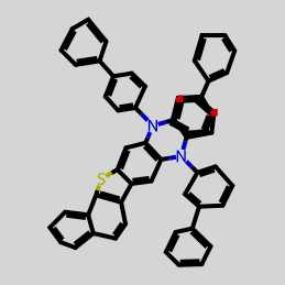 c1ccc(-c2ccc(N(c3ccccc3)c3cc4sc5c6ccccc6ccc5c4cc3N(c3ccc(-c4ccccc4)cc3)c3cccc(-c4ccccc4)c3)cc2)cc1